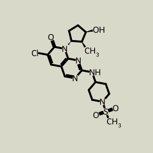 C[C@@H]1[C@H](O)CC[C@H]1n1c(=O)c(Cl)cc2cnc(NC3CCN(S(C)(=O)=O)CC3)nc21